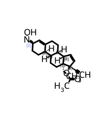 C#C[C@]1(OC(C)=O)C=C[C@H]2[C@@H]3CCC4=C/C(=N\O)CC[C@@H]4[C@H]3CC[C@@]21CC